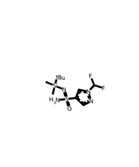 CC(C)(C)[Si](C)(C)N=S(N)(=O)c1cnn(C(F)F)c1